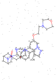 Cc1ccc(CC(=O)N2C3CC2CN(c2ccc(-c4cc(OCCN5CCOCC5)cn5ncc(C#N)c45)cn2)C3)cn1